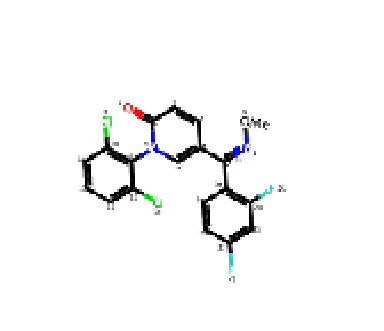 CO/N=C(\c1ccc(=O)n(-c2c(Cl)cccc2Cl)c1)c1ccc(F)cc1F